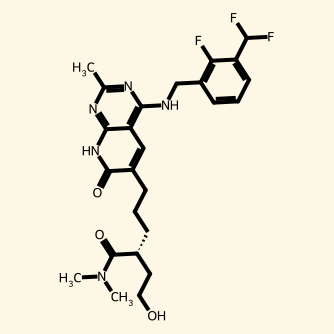 Cc1nc(NCc2cccc(C(F)F)c2F)c2cc(CCC[C@H](CCO)C(=O)N(C)C)c(=O)[nH]c2n1